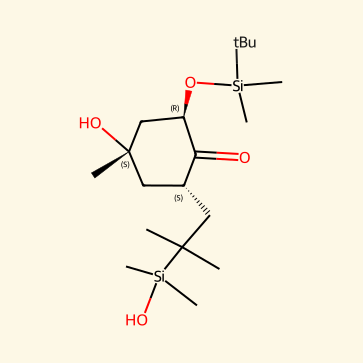 CC(C)(C[C@@H]1C[C@](C)(O)C[C@@H](O[Si](C)(C)C(C)(C)C)C1=O)[Si](C)(C)O